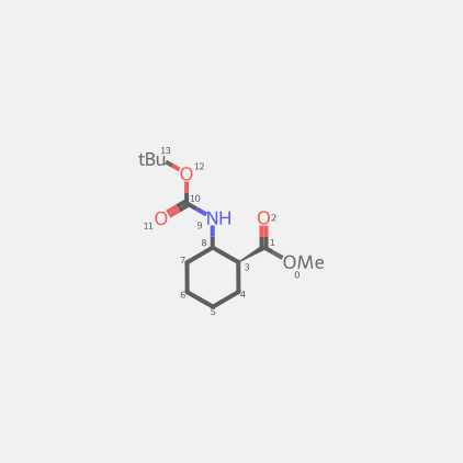 COC(=O)[C@H]1CCCCC1NC(=O)OC(C)(C)C